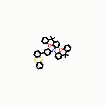 CC1(C)c2ccccc2Oc2c(N(c3ccc(-c4cccc5c4Sc4ccccc4S5)cc3)c3cccc4c3Oc3ccccc3C4(C)C)cccc21